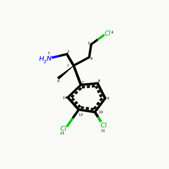 C[C@@](CN)(CCCl)c1ccc(Cl)c(Cl)c1